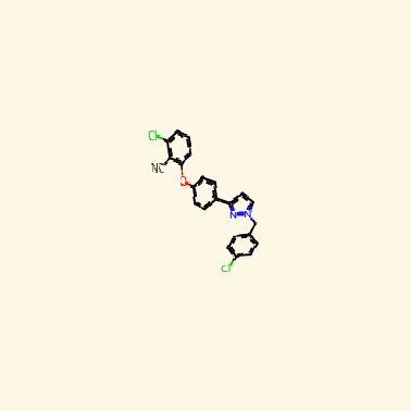 N#Cc1c(Cl)cccc1Oc1ccc(-c2ccn(Cc3ccc(Cl)cc3)n2)cc1